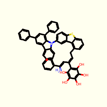 N/C(=C\C(=C/Cc1cccc2sc3ccc(-n4c5ccccc5c5cc(-c6ccccc6)cc(-c6ccccc6)c54)cc3c12)c1c(O)c(O)c(O)c(O)c1O)c1ccccc1